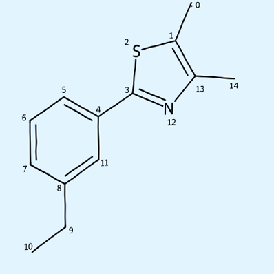 [CH2]c1sc(-c2cccc(CC)c2)nc1C